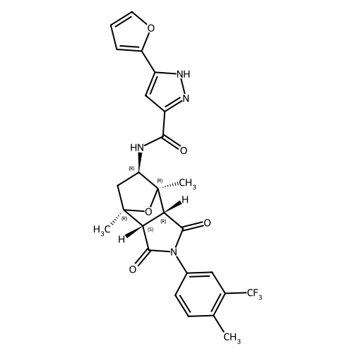 Cc1ccc(N2C(=O)[C@@H]3[C@H](C2=O)[C@@]2(C)C[C@@H](NC(=O)c4cc(-c5ccco5)[nH]n4)[C@]3(C)O2)cc1C(F)(F)F